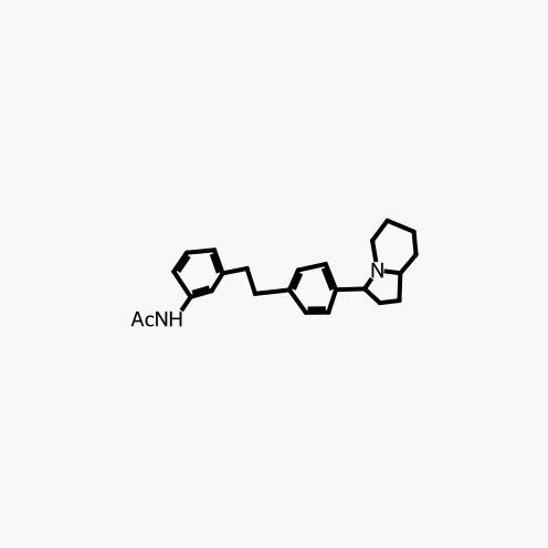 CC(=O)Nc1cccc(CCc2ccc(C3CCC4CCCCN43)cc2)c1